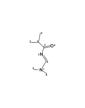 CC(C)C(=O)N=CN(C)C